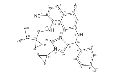 N#Cc1cnc2c(Cl)cc(NC(c3ccc(F)cc3)c3cn(C4CC4)nn3)cc2c1NCC1(C(F)F)CC1